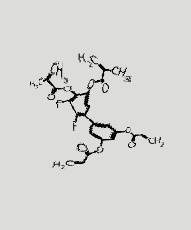 C=CC(=O)Oc1cc(OC(=O)C=C)cc(-c2cc(OC(=O)C(=C)C)c(OC(=O)C(=C)C)c(F)c2F)c1